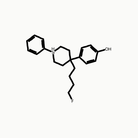 Oc1ccc(C2(CCCCF)CC[SiH](c3ccccc3)CC2)cc1